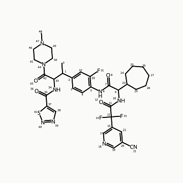 CC(c1ccc(NC(=O)C(NC(=O)C(F)(F)c2cncc(C#N)c2)C2CCCCCC2)c(F)c1)C(NC(=O)c1cnns1)C(=O)N1CCN(C)CC1